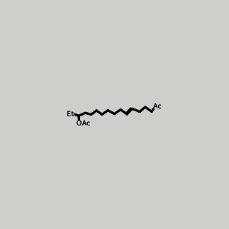 CCC(CCCCCCCC=CCCCC(C)=O)OC(C)=O